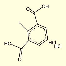 Cl.Cl.O=C(O)c1cccc(C(=O)O)c1I